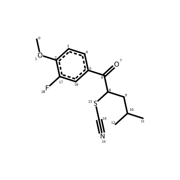 COc1ccc(C(=O)C(CC(C)C)SC#N)cc1F